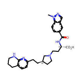 Cn1ncc2cc(C(=O)N[C@@H](CCN3CC[C@@H](CCc4ccc5c(n4)NCCC5)C3)C(=O)O)ccc21